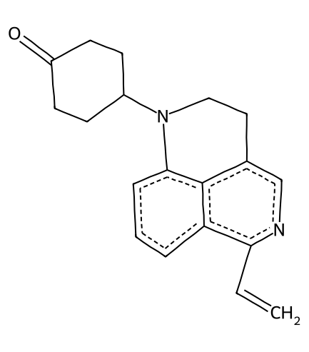 C=Cc1ncc2c3c(cccc13)N(C1CCC(=O)CC1)CC2